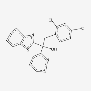 OC(Cc1ccc(Cl)cc1Cl)(c1ccccn1)c1nc2ccccc2s1